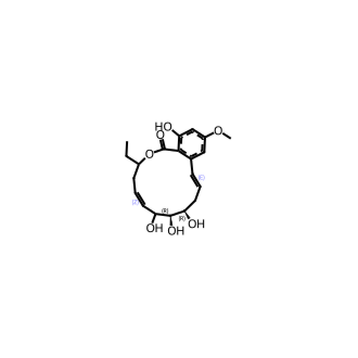 CCC1C/C=C\C(O)[C@H](O)[C@H](O)C/C=C/c2cc(OC)cc(O)c2C(=O)O1